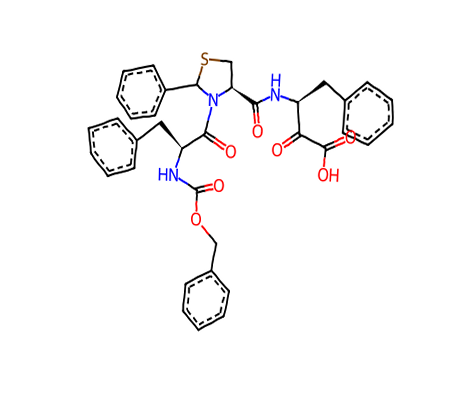 O=C(N[C@@H](Cc1ccccc1)C(=O)N1C(c2ccccc2)SC[C@H]1C(=O)N[C@@H](Cc1ccccc1)C(=O)C(=O)O)OCc1ccccc1